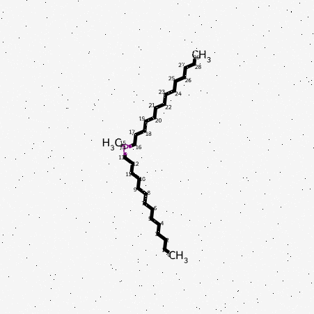 CCCCCCCCCCCCCCP(C)CCCCCCCCCCCCCC